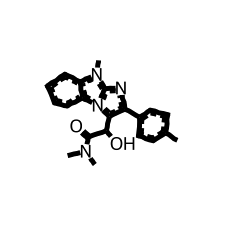 Cc1ccc(-c2nc3n(C)c4ccccc4n3c2C(O)C(=O)N(C)C)cc1